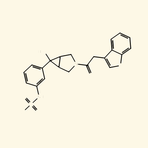 CC1(c2cccc(NS(C)(=O)=O)c2)C2CN(C(=O)Cc3csc4ccccc34)CC21